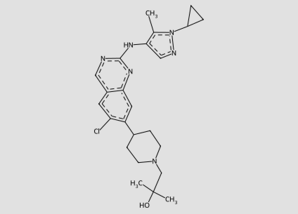 Cc1c(Nc2ncc3cc(Cl)c(C4CCN(CC(C)(C)O)CC4)cc3n2)cnn1C1CC1